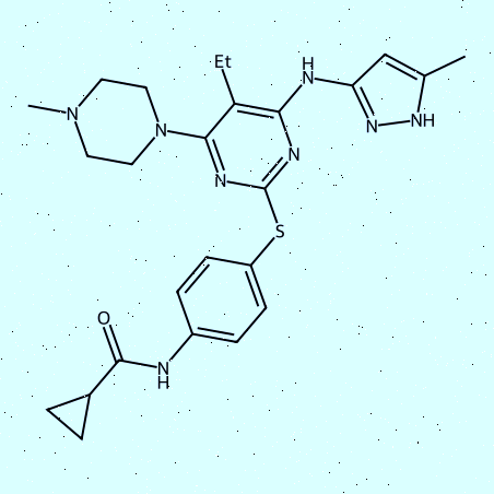 CCc1c(Nc2cc(C)[nH]n2)nc(Sc2ccc(NC(=O)C3CC3)cc2)nc1N1CCN(C)CC1